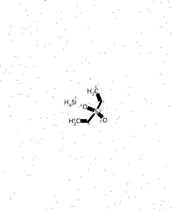 C=CS(=O)(=O)C=C.[SiH4]